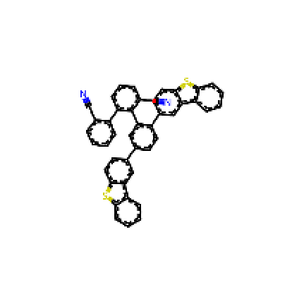 N#Cc1ccccc1-c1cccc(C#N)c1-c1cc(-c2ccc3sc4ccccc4c3c2)ccc1-c1ccc2sc3ccccc3c2c1